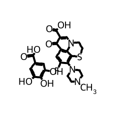 CN1CCN(c2c(F)cc3c(=O)c(C(=O)O)cn4c3c2SCC4)CC1.O=C(O)c1cc(O)c(O)c(O)c1